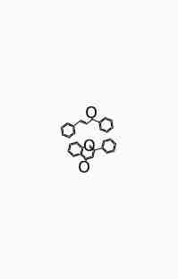 O=C(C=Cc1ccccc1)c1ccccc1.O=c1cc(-c2ccccc2)oc2ccccc12